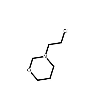 ClCCN1CCCOC1